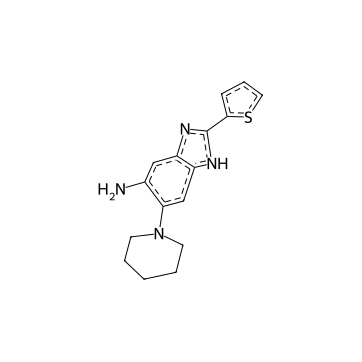 Nc1cc2nc(-c3cccs3)[nH]c2cc1N1CCCCC1